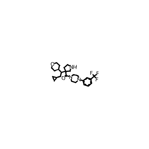 O=C(N1CCN(c2cccc(C(F)(F)F)c2)CC1)C1(C(CC2CC2)C2CCOCC2)CCNC1